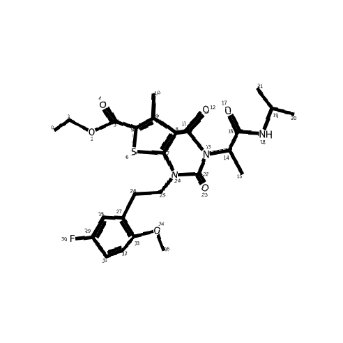 CCOC(=O)c1sc2c(c1C)c(=O)n(C(C)C(=O)NC(C)C)c(=O)n2CCc1cc(F)ccc1OC